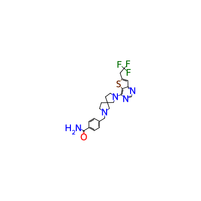 NC(=O)c1ccc(CN2CCC3(CCN(c4ncnc5cc(CC(F)(F)F)sc45)C3)C2)cc1